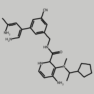 C/C(N)=C/C(=C\N)c1cc(C#N)cc(CNC(=O)C2NC=CC(N)=C2N(C)C(C)C2CCCC2)c1